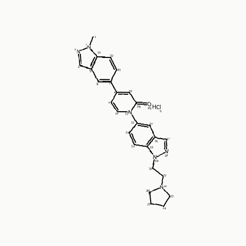 Cl.Cn1ncc2cc(-c3ccn(-c4ccc5c(cnn5CCN5CCCC5)c4)c(=O)c3)ccc21